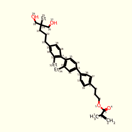 C=C(C)C(=O)OCCCc1ccc(-c2ccc(-c3ccc(CCCC(CC)(CO)CO)cc3CC)c(CC)c2)cc1